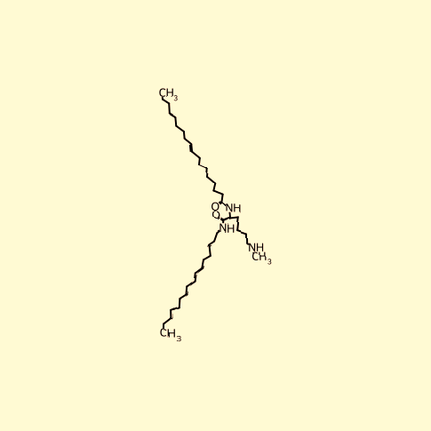 CCCCCCCC/C=C/CCCCCCCC(=O)NC(CCCCNC)C(=O)NCCCCCCCCCCCCCCCC